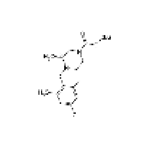 Cc1cc(Cl)cc(I)c1CN1CCN(C(=O)OC(C)(C)C)C[C@@H]1C